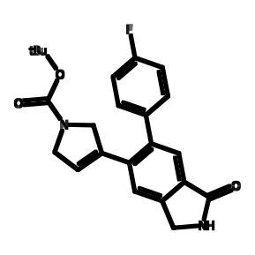 CC(C)(C)OC(=O)N1CC=C(c2cc3c(cc2-c2ccc(F)cc2)C(=O)NC3)C1